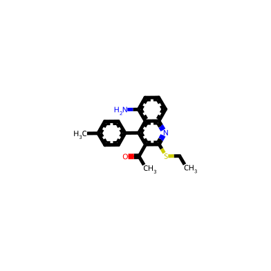 CCSc1nc2cccc(N)c2c(-c2ccc(C)cc2)c1C(C)=O